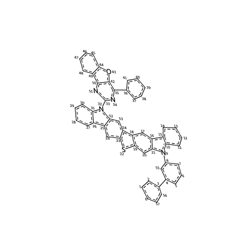 c1ccc(-c2cccc(-n3c4ccccc4c4cc5c(cc43)sc3cc4c6ccccc6n(-c6nc(-c7ccccc7)c7oc8ccccc8c7n6)c4cc35)c2)cc1